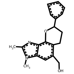 Cc1nc2c3c(c(CO)cc2n1C)CCC(c1ccccc1)O3